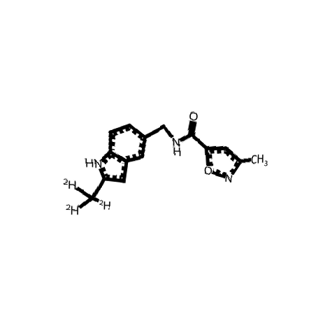 [2H]C([2H])([2H])c1cc2cc(CNC(=O)c3cc(C)no3)ccc2[nH]1